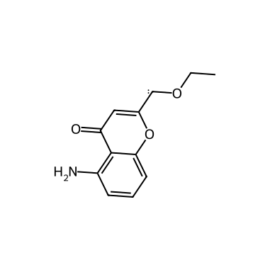 CCO[C]c1cc(=O)c2c(N)cccc2o1